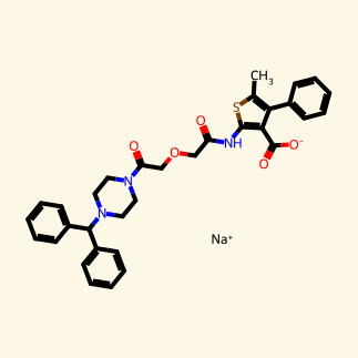 Cc1sc(NC(=O)COCC(=O)N2CCN(C(c3ccccc3)c3ccccc3)CC2)c(C(=O)[O-])c1-c1ccccc1.[Na+]